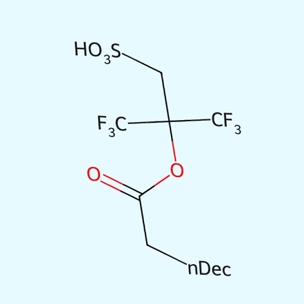 CCCCCCCCCCCC(=O)OC(CS(=O)(=O)O)(C(F)(F)F)C(F)(F)F